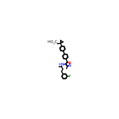 Cc1noc(-c2ccc(-c3ccc(C4(CC(=O)O)CC4)cc3)cc2)c1NC(C)CCc1cccc(F)c1